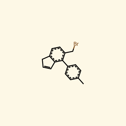 Cc1ccc(-c2c(CBr)ccc3c2C=CC3)cc1